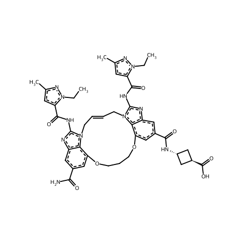 CCn1nc(C)cc1C(=O)Nc1nc2cc(C(N)=O)cc3c2n1C/C=C/Cn1c(NC(=O)c2cc(C)nn2CC)nc2cc(C(=O)N[C@H]4C[C@H](C(=O)O)C4)cc(c21)OCCCO3